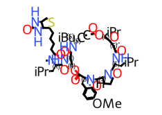 CC[C@H](C)[C@@H]1CCC(=O)O[C@@H](C(C)C)C(=O)[C@H](C)C(=O)N[C@@H](CC(C)C)C(=O)N2CCC[C@H]2C(=O)N(C)[C@@H](Cc2ccc(OC)cc2)C(=O)O[C@H](C)[C@H](NC(=O)[C@@H](CC(C)C)N(C)C(=O)CCCCC2SCC3NC(=O)NC32)C(=O)N1